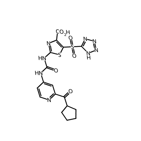 O=C(Nc1ccnc(C(=O)C2CCCC2)c1)Nc1nc(C(=O)O)c(S(=O)(=O)c2nnn[nH]2)s1